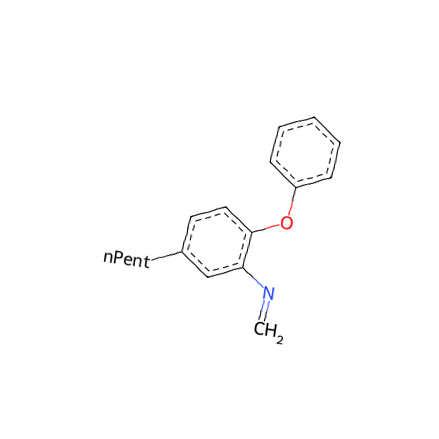 C=Nc1cc(CCCCC)ccc1Oc1ccccc1